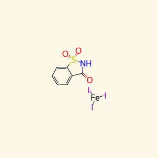 O=C1NS(=O)(=O)c2ccccc21.[I][Fe]([I])[I]